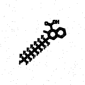 Cc1c(C(F)(F)C(F)(F)C(F)(F)C(F)(F)C(F)(F)C(F)(F)C(F)(F)F)cc2ccccc2c1C(=O)O